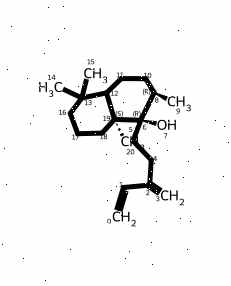 C=CC(=C)CC[C@@]1(O)[C@H](C)CCC2C(C)(C)CCC[C@@]21C